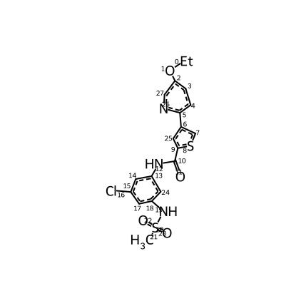 CCOc1ccc(-c2csc(C(=O)Nc3cc(Cl)cc(NS(C)(=O)=O)c3)c2)nc1